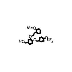 COc1ccccc1CCOc1cc(CO)ccc1OCc1ccc(OC(F)(F)F)cc1